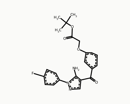 CC(C)(C)OC(=O)COc1cccc(C(=O)c2cnn(-c3ccc(F)cc3)c2N)c1